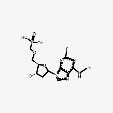 CC(C)Nc1nc(Cl)nc2c1ncn2C1C[C@H](O)[C@@H](COCP(=O)(O)O)O1